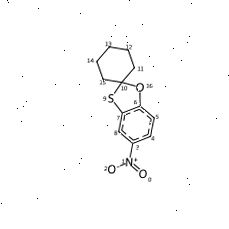 O=[N+]([O-])c1ccc2c(c1)SC1(CCCCC1)O2